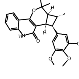 COc1cc([C@@H]2[C@@H](C)[C@H]3[C@@H]2c2c(c4ccccc4[nH]c2=O)OC3(C)C)cc(OC)c1OC